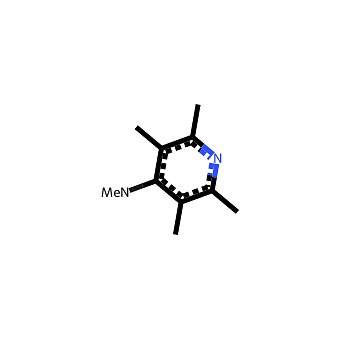 CNc1c(C)c(C)nc(C)c1C